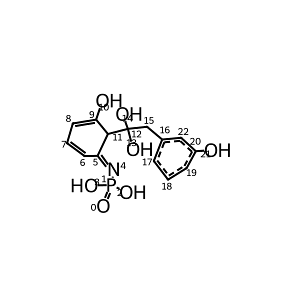 O=P(O)(O)/N=C1\C=CC=C(O)C1C(O)(O)Cc1cccc(O)c1